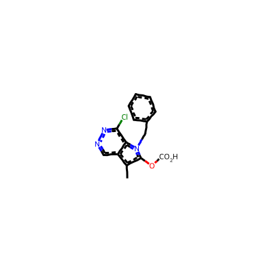 Cc1c(OC(=O)O)n(Cc2ccccc2)c2c(Cl)nncc12